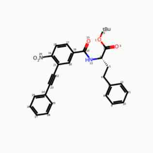 CC(C)(C)OC(=O)[C@H](CCc1ccccc1)NC(=O)c1ccc([N+](=O)[O-])c(C#Cc2ccccc2)c1